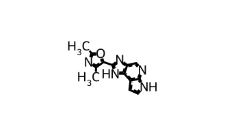 Cc1nc(C)c(-c2nc3cnc4[nH]ccc4c3[nH]2)o1